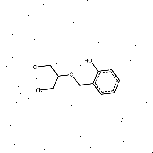 Oc1ccccc1COC(CCl)CCl